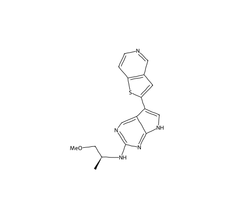 COC[C@H](C)Nc1ncc2c(-c3cc4cnccc4s3)c[nH]c2n1